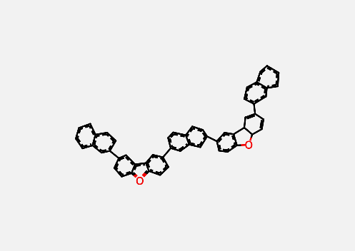 C1=CC2Oc3ccc(-c4ccc5ccc(-c6ccc7oc8ccc(-c9ccc%10ccccc%10c9)cc8c7c6)cc5c4)cc3C2C=C1c1ccc2ccccc2c1